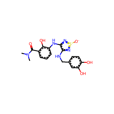 CN(C)C(=O)c1cccc(Nc2n[s+]([O-])nc2NCc2ccc(O)c(O)c2)c1O